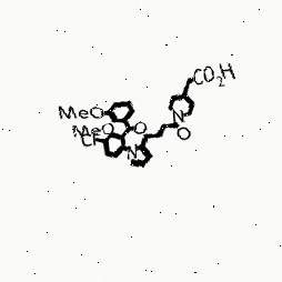 COc1cccc(C2OC(CCC(=O)N3CCC(CC(=O)O)CC3)c3cccn3-c3ccc(Cl)cc32)c1OC